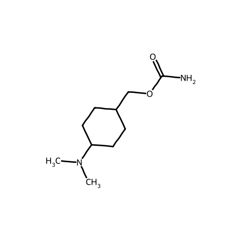 CN(C)C1CCC(COC(N)=O)CC1